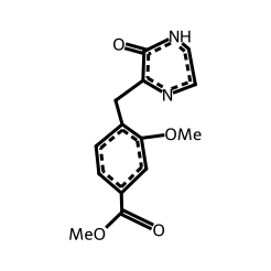 COC(=O)c1ccc(Cc2ncc[nH]c2=O)c(OC)c1